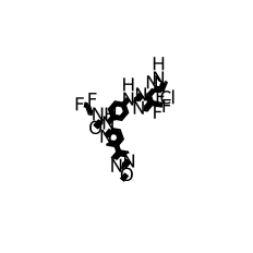 COc1ncc(-c2ccc(N(C(=O)NCC(F)F)C3CCC(Nc4ncc(C(F)(F)F)c(-c5n[nH]cc5Cl)n4)CC3)nc2)cn1